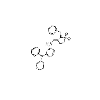 NCC1CCS(=O)(=O)N1Cc1ccccc1.c1ccc(P(c2ccccc2)c2ccccc2)cc1